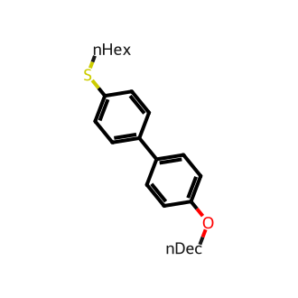 CCCCCCCCCCOc1ccc(-c2ccc(SCCCCCC)cc2)cc1